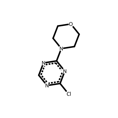 Clc1ncnc(N2CCOCC2)n1